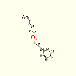 CC(=O)CCCCCOCCC#Cc1ccccc1